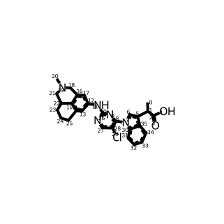 CC(C(=O)O)c1cn(-c2nc(Nc3cc4c5c(c3)CN(C)CC5CCC4)ncc2Cl)c2ccccc12